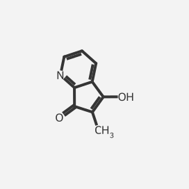 CC1=C(O)c2cccnc2C1=O